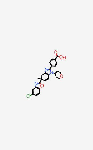 CC1(c2nc3cc(Cl)ccc3o2)C=Cc2c(nc(-c3ccc(C(=O)O)cc3)n2C2CCOCC2)C1